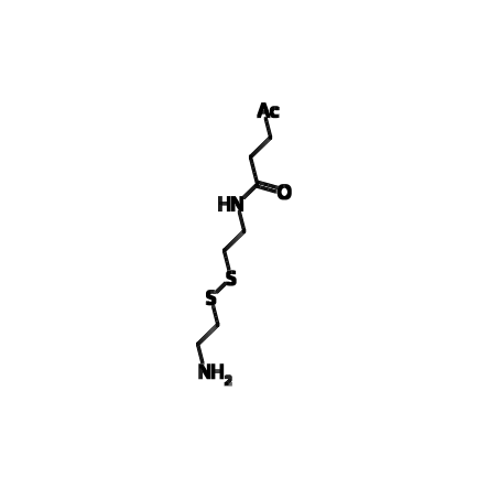 CC(=O)CCC(=O)NCCSSCCN